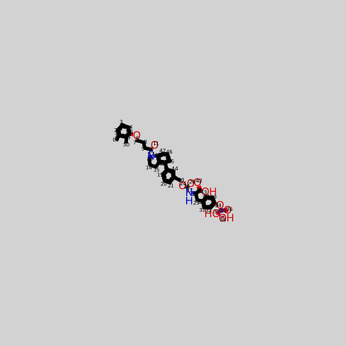 Cc1cccc(OCCCC(=O)N2CCCc3c(-c4cccc(COC(=O)NC(Cc5ccc(OP(=O)(O)O)cc5)C(=O)O)c4)cccc32)c1C